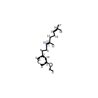 CCOc1cccc(CC/C=C(\C)CCC=C(C)C)c1